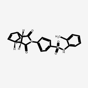 Cc1ccccc1NS(=O)(=O)c1ccc(N2C(=O)[C@@H]3[C@@H]4C=CC(C4)[C@@H]3C2=O)cc1